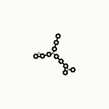 c1ccc(-c2ccc(-c3ccc(N(c4ccc(-c5ccc(-c6ccc7c(c6)c6ccccc6n7-c6ccccc6)cc5)cc4)c4ccc(-c5ccc6c(c5)oc5ccccc56)cc4)cc3)cc2)cc1